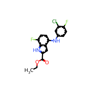 CCOC(=O)c1cc2c(Nc3ccc(F)c(Cl)c3)ccc(F)c2[nH]1